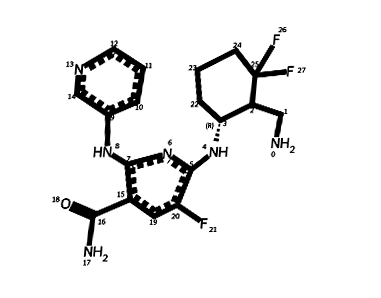 NCC1[C@H](Nc2nc(Nc3cccnc3)c(C(N)=O)cc2F)CCCC1(F)F